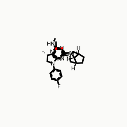 CNc1nc(N[C@H]2[C@@H]3CC[C@H]2CN(c2cc(C)ncn2)C3)nc2c1[C@@H](C)CN2c1ccc(F)cc1